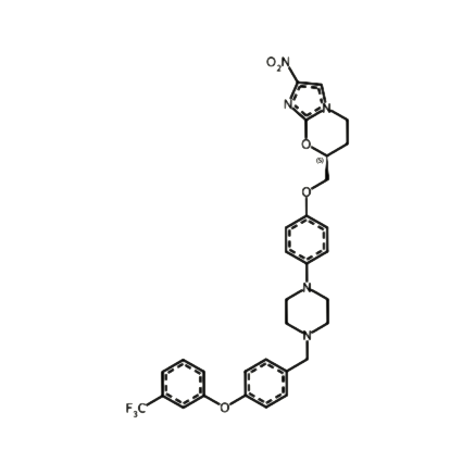 O=[N+]([O-])c1cn2c(n1)O[C@H](COc1ccc(N3CCN(Cc4ccc(Oc5cccc(C(F)(F)F)c5)cc4)CC3)cc1)CC2